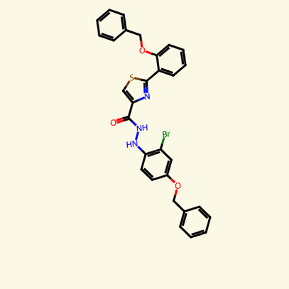 O=C(NNc1ccc(OCc2ccccc2)cc1Br)c1csc(-c2ccccc2OCc2ccccc2)n1